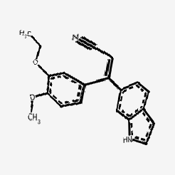 CCOc1cc(/C(=C\C#N)c2ccc3cc[nH]c3c2)ccc1OC